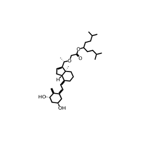 C=C1C(=CC=C2CCC[C@]3(C)C([C@H](C)OCC(=O)OC(CCC(C)C)CCC(C)C)=CC[C@@H]23)C[C@@H](O)C[C@@H]1O